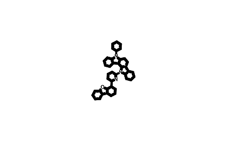 c1ccc(-n2c3ccccc3c3c2ccc2c4ccccc4n(-c4cccc(-c5cccc6c5oc5ccccc56)n4)c23)cc1